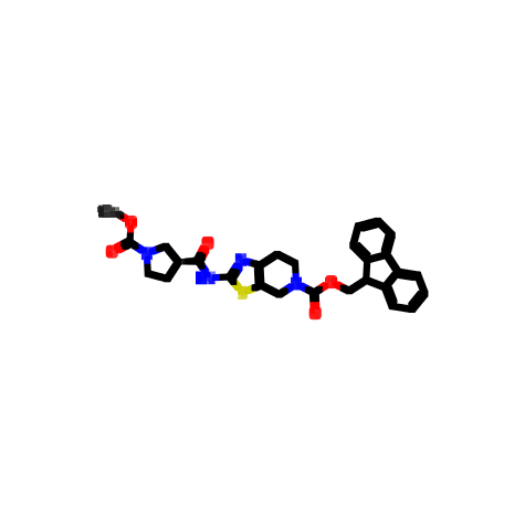 CC(C)(C)OC(=O)N1CC[C@H](C(=O)Nc2nc3c(s2)CN(C(=O)OCC2c4ccccc4-c4ccccc42)CC3)C1